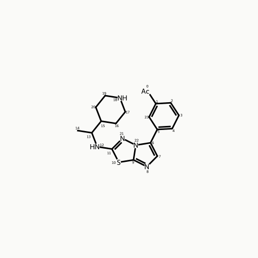 CC(=O)c1cccc(-c2cnc3sc(NC(C)C4CCNCC4)nn23)c1